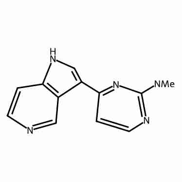 CNc1nccc(-c2c[nH]c3ccncc23)n1